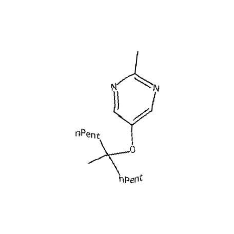 CCCCCC(C)(CCCCC)Oc1cnc(C)nc1